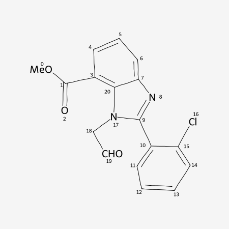 COC(=O)c1cccc2nc(-c3ccccc3Cl)n(CC=O)c12